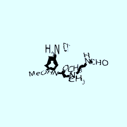 COc1ccc(N)cc1NC(=O)C[N+](C)(C)CCCNC=O.[Cl-]